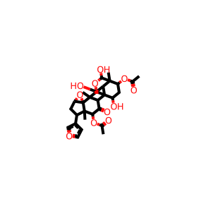 CC(=O)OC1CC(O)C23COC(O)C1(C)C2CC(O)C1(C)C3C(=O)C(OC(C)=O)C2(C)C(c3ccoc3)CC3OC321